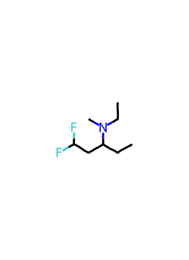 CCC(CC(F)F)N(C)CC